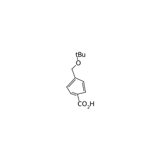 CC(C)(C)OCc1ccc(C(=O)O)cc1